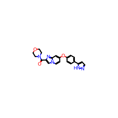 O=C(c1cn2ccc(Oc3ccc(-c4ccn[nH]4)cc3)cc2n1)N1CCOCC1